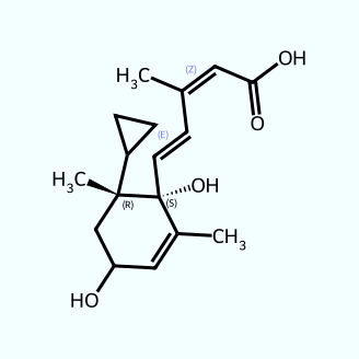 CC1=CC(O)C[C@](C)(C2CC2)[C@@]1(O)/C=C/C(C)=C\C(=O)O